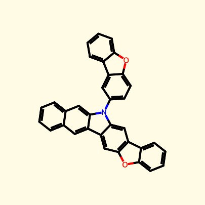 c1ccc2cc3c(cc2c1)c1cc2oc4ccccc4c2cc1n3-c1ccc2oc3ccccc3c2c1